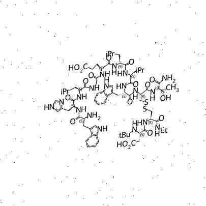 CCNC(=O)[C@H](CSSC[C@H](NC(=O)[C@H](Cc1c[nH]c2ccccc12)NC(=O)[C@@H](NC(=O)[C@H](CC(C)C)NC(=O)[C@H](CCC(=O)O)NC(=O)CNC(=O)[C@H](CC(C)C)NC(=O)[C@H](Cc1c[nH]cn1)NC(=O)[C@@H](N)Cc1c[nH]c2ccccc12)C(C)C)C(=O)N[C@H](C(N)=O)[C@H](C)O)NC(=O)[C@H](CC(=O)O)NC(C)(C)C